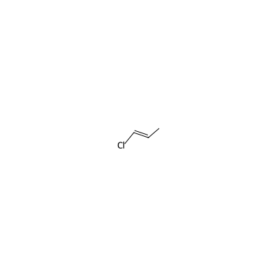 CC=CCl